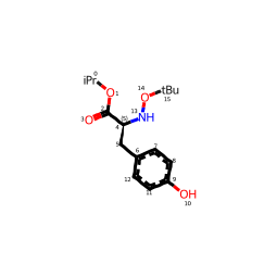 CC(C)OC(=O)[C@H](Cc1ccc(O)cc1)NOC(C)(C)C